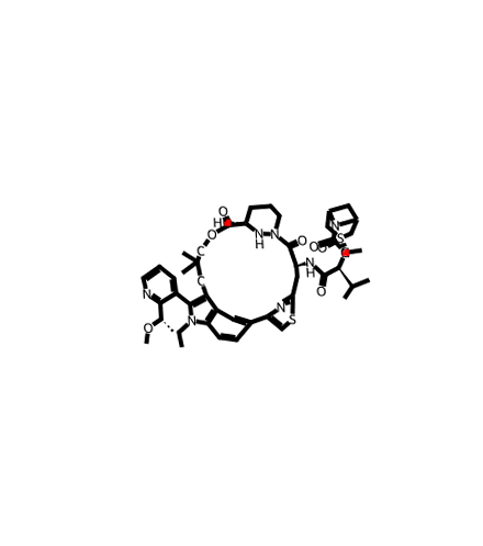 CCn1c(-c2cccnc2[C@H](C)OC)c2c3cc(ccc31)-c1csc(n1)C[C@H](NC(=O)[C@H](C(C)C)N(C)C(=O)N1C3CC1CS(=O)(=O)C3)C(=O)N1CCC[C@@](O)(N1)C(=O)OCC(C)(C)C2